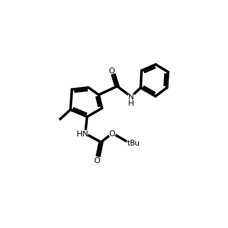 Cc1ccc(C(=O)Nc2ccccc2)cc1NC(=O)OC(C)(C)C